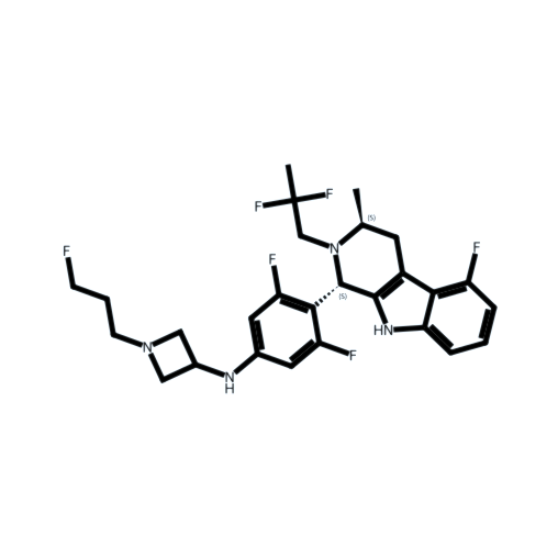 C[C@H]1Cc2c([nH]c3cccc(F)c23)[C@H](c2c(F)cc(NC3CN(CCCF)C3)cc2F)N1CC(C)(F)F